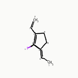 C=CC1=C(I)/C(=C/C)CC1